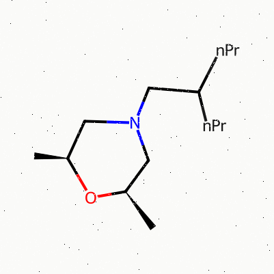 CCCC(CCC)CN1C[C@@H](C)O[C@@H](C)C1